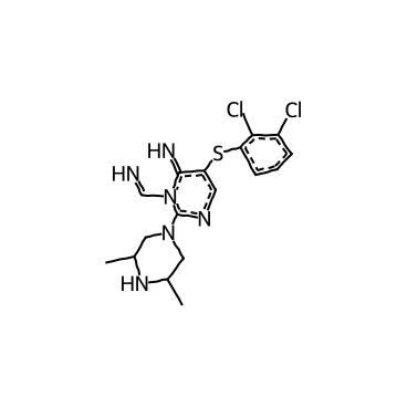 CC1CN(c2ncc(Sc3cccc(Cl)c3Cl)c(=N)n2C=N)CC(C)N1